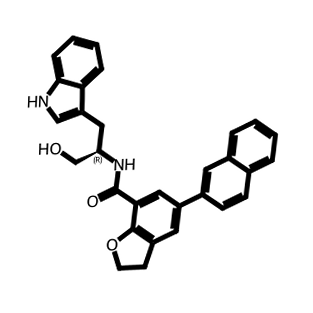 O=C(N[C@@H](CO)Cc1c[nH]c2ccccc12)c1cc(-c2ccc3ccccc3c2)cc2c1OCC2